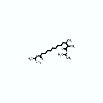 CC(C)OC(=O)CCCCCCCCCC(C)C(C)C(=O)OC(C)C